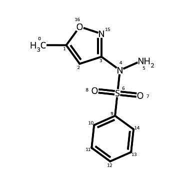 Cc1cc(N(N)S(=O)(=O)c2ccccc2)no1